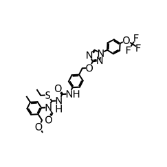 CCSC(NC(=O)Nc1ccc(COc2ncn(-c3ccc(OC(F)(F)F)cc3)n2)cc1)N(C=O)c1cc(C)ccc1COC